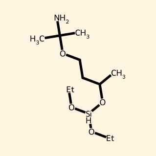 CCO[SiH](OCC)OC(C)CCOC(C)(C)N